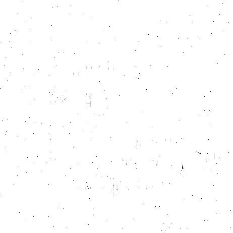 O=C(Nc1ccn([C@@H]2OC(CO)[C@@H](O)[C@H]2OC2CCCCO2)/c(=N/CCCC[C@H](NC(=O)OCc2ccccc2)C(=O)OCc2ccccc2)n1)OCc1ccccc1